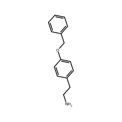 N[CH]Cc1ccc(OCc2ccccc2)cc1